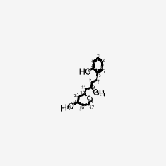 Oc1ccccc1CCC(O)CC1CC(O)CCO1